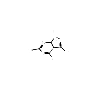 ClC1=NC2NN=C(Cl)C2C(Cl)=N1